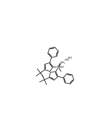 CC(C)(C)C1=CC(c2ccccc2)=[C]([Ti]([CH3])([CH3])(=[SiH2])[C]2=C(c3ccccc3)C=C(C(C)(C)C)C2)C1.Cl.Cl